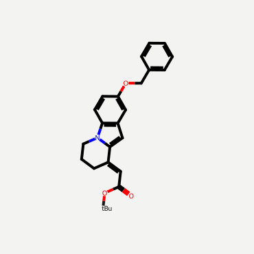 CC(C)(C)OC(=O)C=C1CCCn2c1cc1cc(OCc3ccccc3)ccc12